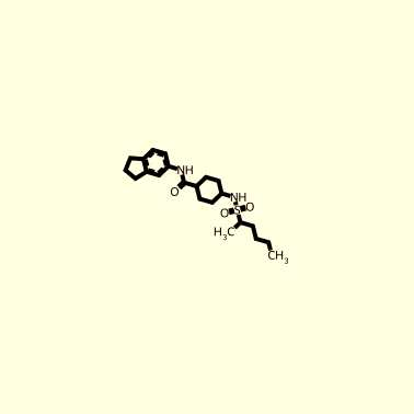 CCCCC(C)S(=O)(=O)NC1CCC(C(=O)Nc2ccc3c(c2)CCC3)CC1